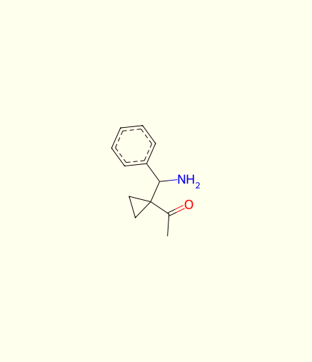 CC(=O)C1(C(N)c2ccccc2)CC1